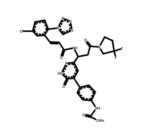 COC(=O)Nc1ccc(-c2cc(C(CC(=O)N3CCC(F)(F)C3)NC(=O)/C=C/c3cc(Cl)ccc3-n3cnnn3)n[nH]c2=O)cc1